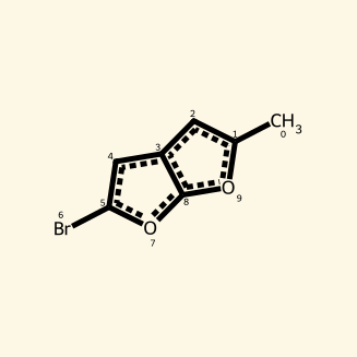 Cc1cc2cc(Br)oc2o1